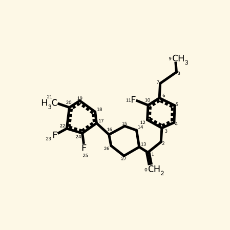 C=C(Cc1ccc(CCC)c(F)c1)C1CCC(c2ccc(C)c(F)c2F)CC1